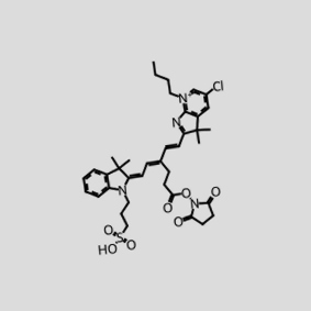 CCCC[n+]1cc(Cl)cc2c1N=C(/C=C/C(=C/C=C1/N(CCCS(=O)(=O)O)c3ccccc3C1(C)C)CCC(=O)ON1C(=O)CCC1=O)C2(C)C